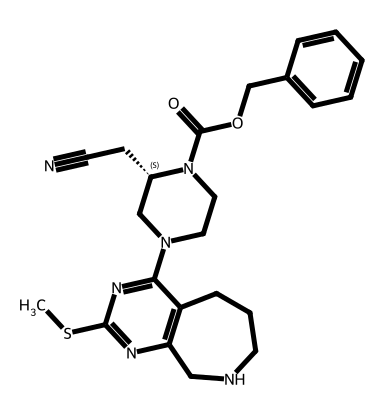 CSc1nc2c(c(N3CCN(C(=O)OCc4ccccc4)[C@@H](CC#N)C3)n1)CCCNC2